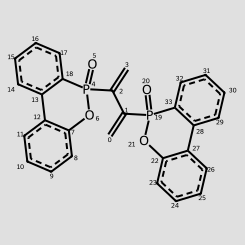 C=C(C(=C)P1(=O)Oc2ccccc2-c2ccccc21)P1(=O)Oc2ccccc2-c2ccccc21